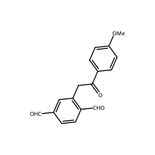 COc1ccc(C(=O)Cc2cc(C=O)ccc2C=O)cc1